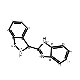 c1ccc2c(c1)SNC2c1nc2ccccc2[nH]1